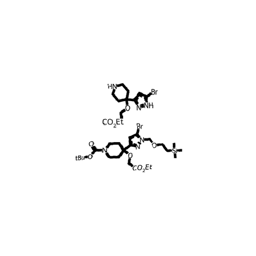 CCOC(=O)COC1(c2cc(Br)[nH]n2)CCNCC1.CCOC(=O)COC1(c2cc(Br)n(COCC[Si](C)(C)C)n2)CCN(C(=O)OC(C)(C)C)CC1